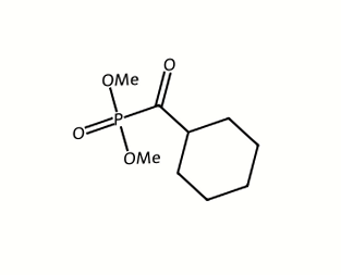 COP(=O)(OC)C(=O)C1CCCCC1